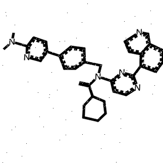 C=C(C1CCCCC1)N(Cc1ccc(-c2ccc(N(C)C)nc2)cc1)c1ccnc(-c2cccc3cnccc23)n1